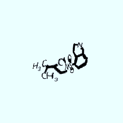 CC(C)C1CCN(S(=O)(=O)c2cccc3cnccc23)CC1